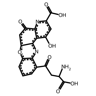 NC(CC(=O)c1cccc2oc3cc(=O)c4nc(C(=O)O)cc(O)c4c-3nc12)C(=O)O